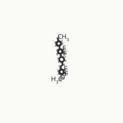 CCc1ccc(-c2ccc(C3CCC(CCc4ccc(OC)c(F)c4F)CC3)c(F)c2F)cc1